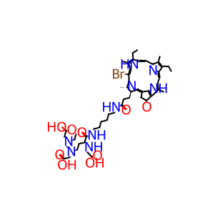 CCC1=C(C)c2cc3[nH]c(c(C)c3CC)c(Br)c3nc(c4c5[nH]c(cc1n2)c(C)c5C(=O)C4)[C@@H](CCC(=O)NCCCCCCNC(=O)C(CCN(CC(=O)O)CN(CC)CC(=O)O)NCC(=O)O)[C@@H]3C